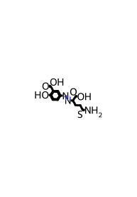 NC(=S)CCC(/N=N/c1ccc(O)c(C(=O)O)c1)C(=O)O